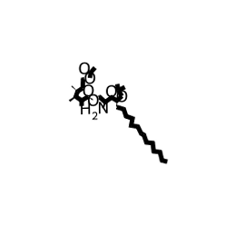 CCCCCCCCCCCCCC[C@H]1OC(C)(C)O[C@H]1[C@@H](N)CO[C@H]1OC(COC(C)=O)[C@@H](C)[C@H](C)C1C